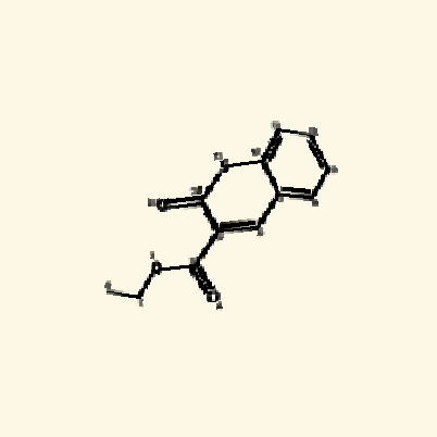 CCOC(=O)c1cc2ccccc2sc1=O